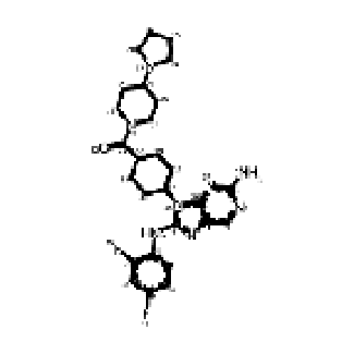 Nc1ncc2nc(Nc3ccc(F)cc3F)n(C3CCC(C(=O)N4CCC(N5CCCC5)CC4)CC3)c2n1